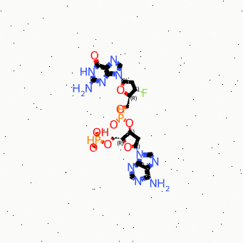 Nc1nc2c(ncn2[C@H]2C[C@H](F)[C@@H](CO[PH](=O)O[C@H]3C[C@H](n4cnc5c(N)ncnc54)O[C@@H]3CO[PH](=O)O)O2)c(=O)[nH]1